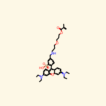 C=C(C)C(=O)OCCCOCCCNCc1ccc(-c2c3ccc(=[N+](CC)CC)cc-3oc3cc(N(CC)CC)ccc23)c(S(=O)(=O)O)c1